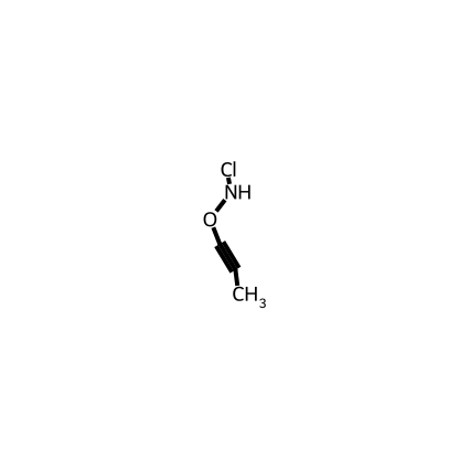 CC#CONCl